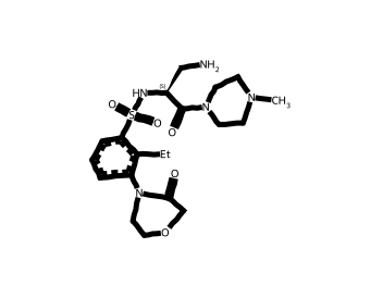 CCc1c(N2CCOCC2=O)cccc1S(=O)(=O)N[C@@H](CN)C(=O)N1CCN(C)CC1